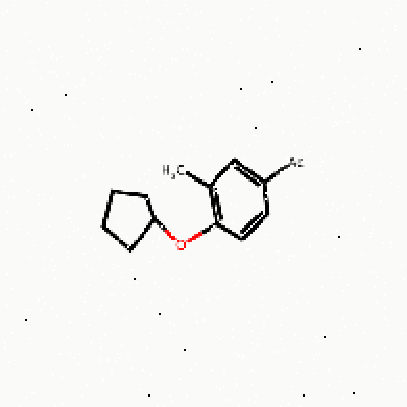 CC(=O)c1ccc(OC2CCCC2)c(C)c1